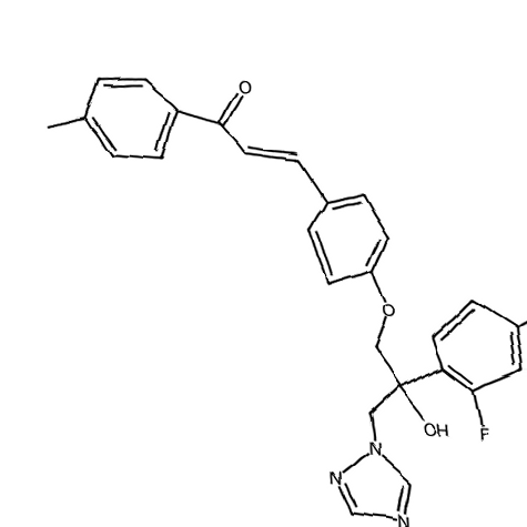 Cc1ccc(C(=O)C=Cc2ccc(OCC(O)(Cn3cncn3)c3ccc(F)cc3F)cc2)cc1